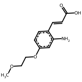 COCCOc1ccc(/C=C/C(=O)O)c(N)c1